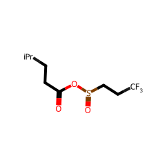 CC(C)CCC(=O)OS(=O)CCC(F)(F)F